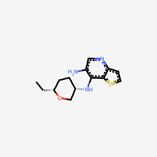 CC[C@@H]1CC[C@H](Nc2c(N)cnc3ccsc23)CO1